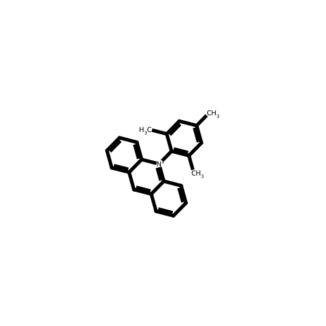 Cc1cc(C)c(-[n+]2c3ccccc3cc3ccccc32)c(C)c1